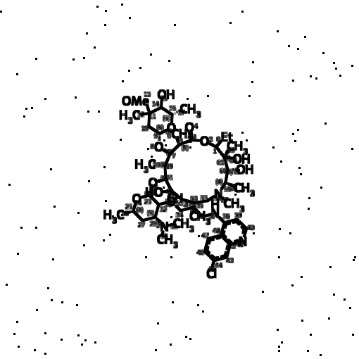 CCC1OC(=O)[C@H](C)[C@H](O[C@@H]2CC(C)(OC)C(O)[C@H](C)O2)[C@@H](C)[C@H](O[C@@H]2O[C@H](C)C[C@H](N(C)C)C2OCCCNc2ccnc3cc(Cl)ccc23)C(C)(O)C[C@H](C)CN(C)[C@H](C)[C@@H](O)[C@@]1(C)O